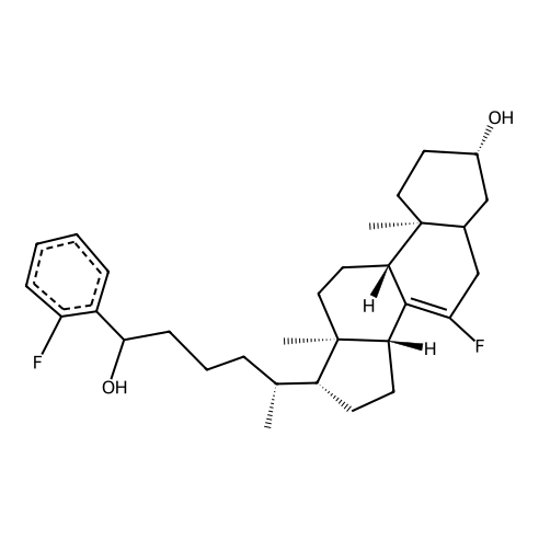 C[C@H](CCCC(O)c1ccccc1F)[C@H]1CC[C@H]2C3=C(F)CC4C[C@@H](O)CC[C@]4(C)[C@H]3CC[C@]12C